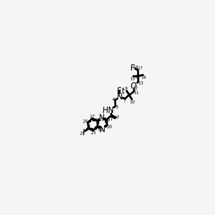 C=C(NCCN(CC)CC(C)(C)COCC(C)(C)CF)c1cnc2cc(I)ccc2n1